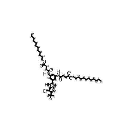 CCCCCCCCCCCCOC(=O)CCC(=O)Nc1cc(NC(=O)CCC(=O)OCCCCCCCCCCCC)cc(-c2nn3nc(C(C)(C)C)c(Cl)c3[nH]2)c1